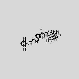 Cc1noc(C)c1S(=O)(=O)NC(CNC(=O)c1ccc2c(cnn2CCCNC2NC=CCN2)c1)C(=O)O